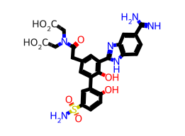 N=C(N)c1ccc2[nH]c(-c3cc(CC(=O)N(CC(=O)O)CC(=O)O)cc(-c4cc(S(N)(=O)=O)ccc4O)c3O)nc2c1